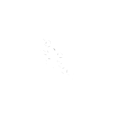 CN(C)c1ccc(NC(=O)Nc2cccc(C#Cc3cnc(N)nc3-c3cc4c(n3C)CCN(C(=O)OC(C)(C)C)C4=O)c2)cc1